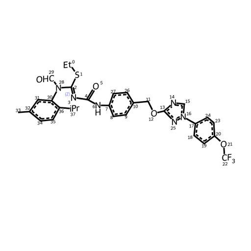 CCS/C(=N\C(=O)Nc1ccc(COc2ncn(-c3ccc(OC(F)(F)F)cc3)n2)cc1)N(C=O)c1cc(C)ccc1C(C)C